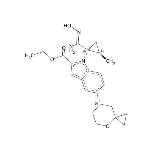 CCOC(=O)c1cc2cc([C@H]3CCOC4(CC4)C3)ccc2n1[C@]1(C(N)=NO)C[C@H]1C